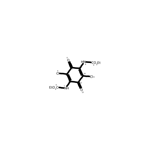 CCOC(=O)NC1=C(Cl)C(=O)C(NC(=O)OCC)=C(Cl)C1=O